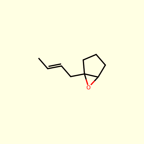 C/C=C/CC12CCCC1O2